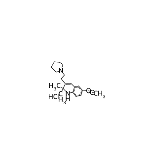 CCOc1ccc2c(c1)C=C(CCN1CCCCC1)C(C)(C)N2.Cl